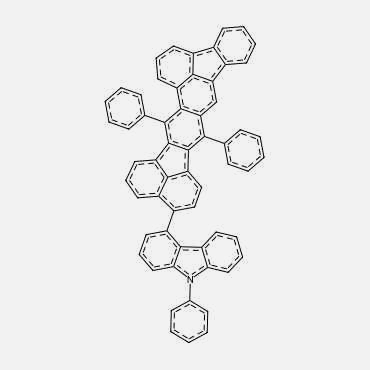 c1ccc(-c2c3cc4c5ccccc5c5cccc(c3c(-c3ccccc3)c3c6cccc7c(-c8cccc9c8c8ccccc8n9-c8ccccc8)ccc(c23)c76)c54)cc1